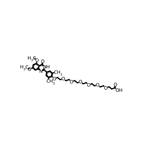 COc1cc(OC)c2c(=O)[nH]c(-c3cc(C)c(OCCOCCOCCOCCOCCOCCOCCC(=O)O)c(C)c3)nc2c1